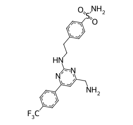 NCc1cc(-c2ccc(C(F)(F)F)cc2)nc(NCCc2ccc(S(N)(=O)=O)cc2)n1